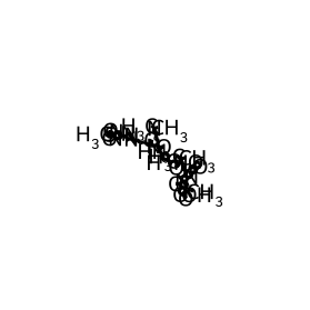 CC[C@@]1(O)C(=O)OCc2c1cc1n(c2=O)Cc2c-1nc1cc3c(cc1c2CCN(C(=O)OCc1ccc(NC(=O)[C@H](CCCCN(C)C)NC(=O)CCCCCn2cc(-c4cnc(S(C)(=O)=O)nc4)nn2)cc1)C(C)C)OCO3